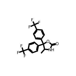 CC1NC(=O)OC1(c1ccc(C(F)(F)F)cc1)c1ccc(C(F)(F)F)cc1